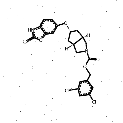 O=C(OCc1cc(Cl)cc(Cl)c1)N1C[C@H]2C[C@H](Oc3ccc4[nH]c(=O)oc4c3)C[C@H]2C1